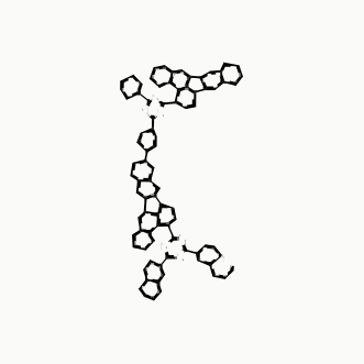 c1ccc(-c2nc(-c3ccc(-c4ccc5cc6c(cc5c4)-c4ccc(-c5nc(-c7ccc8ccccc8c7)nc(-c7ccc8ccccc8c7)n5)c5c4c-6cc4ccccc45)cc3)nc(-c3ccc4c5c(cc6ccccc6c35)-c3cc5ccccc5cc3-4)n2)cc1